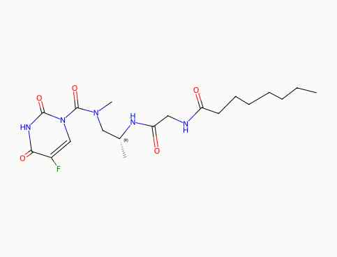 CCCCCCCC(=O)NCC(=O)N[C@H](C)CN(C)C(=O)n1cc(F)c(=O)[nH]c1=O